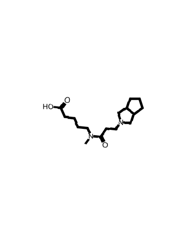 CN(CCCCC(=O)O)C(=O)CCN1CC2CCCC2C1